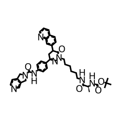 C[C@H](NC(=O)OC(C)(C)C)C(=O)NCCCCCCN1N=C(c2ccc(NC(=O)N3Cc4ccncc4C3)cc2)CC(c2ccc3cccnc3c2)C1=O